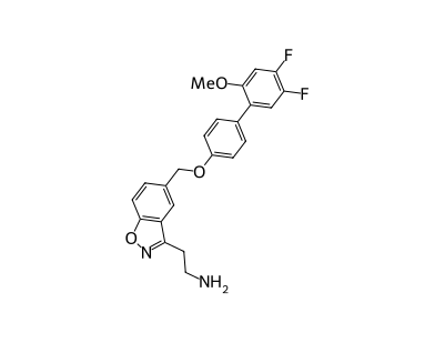 COc1cc(F)c(F)cc1-c1ccc(OCc2ccc3onc(CCN)c3c2)cc1